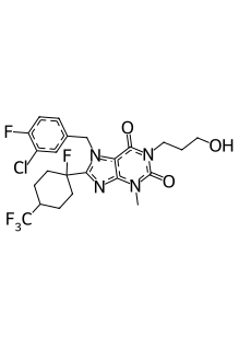 Cn1c(=O)n(CCCO)c(=O)c2c1nc(C1(F)CCC(C(F)(F)F)CC1)n2Cc1ccc(F)c(Cl)c1